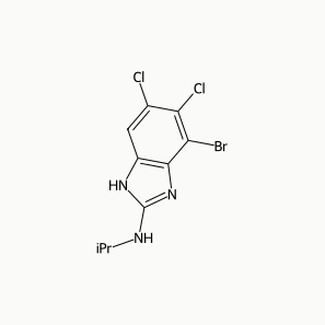 CC(C)Nc1nc2c(Br)c(Cl)c(Cl)cc2[nH]1